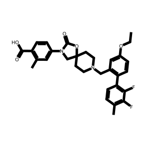 CCOc1ccc(-c2ccc(C)c(F)c2F)c(CN2CCC3(CC2)CN(c2ccc(C(=O)O)c(C)c2)C(=O)O3)c1